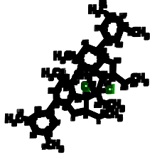 CCC1=Cc2c(-c3cc(C)cc(C)c3)cc(C)c(C)c2[CH]1[Zr]([Cl])([Cl])([CH2]C)[CH]1C(CC)=Cc2c(-c3cc(C)cc(C)c3)cc(C)c(C)c21